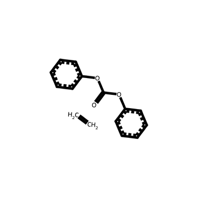 C=C.O=C(Oc1ccccc1)Oc1ccccc1